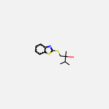 CC(C)C(C)(O)CSc1nc2ccccc2s1